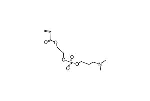 C=CC(=O)OCCOS(=O)(=O)OCCCN(C)C